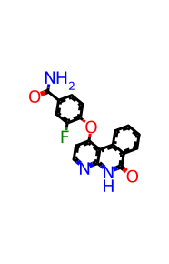 NC(=O)c1ccc(Oc2ccnc3[nH]c(=O)c4ccccc4c23)c(F)c1